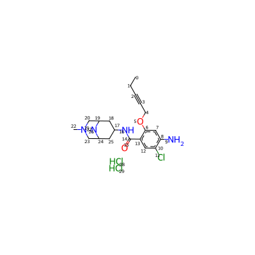 CCC#CCOc1cc(N)c(Cl)cc1C(=O)NC1CC2CN(C)CC(C1)N2C.Cl.Cl